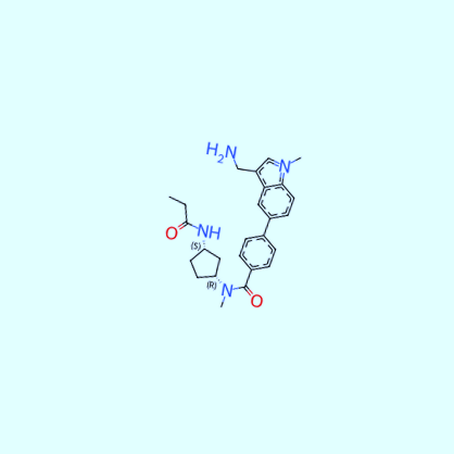 CCC(=O)N[C@H]1CC[C@@H](N(C)C(=O)c2ccc(-c3ccc4c(c3)c(CN)cn4C)cc2)C1